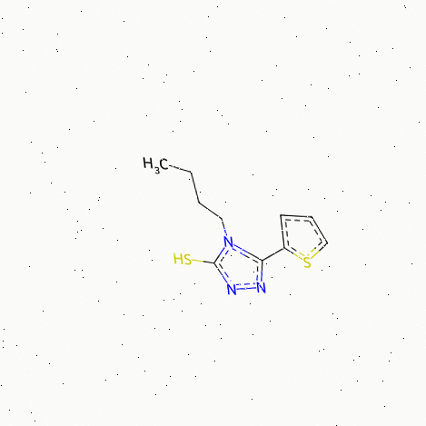 CCCCn1c(S)nnc1-c1cccs1